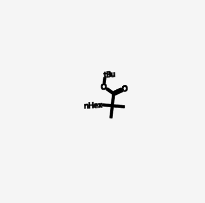 CCCCCCC(C)(C)C(=O)OC(C)(C)C